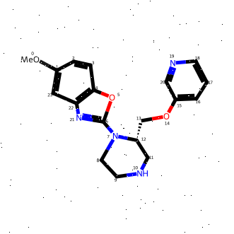 COc1ccc2oc(N3CCNC[C@H]3COc3cccnc3)nc2c1